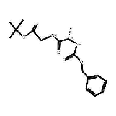 C[C@H](NC(=O)OCc1ccccc1)C(=O)NCC(=O)OC(C)(C)C